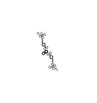 C=C(Cl)C(=O)OCCCC1CCC(C(=O)Oc2ccc(OC(=O)C3CCC(CCCOC(=O)C(=C)Cl)CC3)c3c2C2CCC3C2)CC1